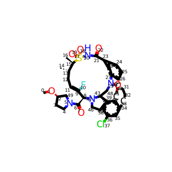 CO[C@@H]1CCN(C(=O)[C@H]2/C(F)=C/C[C@H](C)[C@@H](C)S(=O)(=O)NC(=O)c3ccc4c(c3)N3CCCCc5cc(Cl)cc(c5CO4)[C@]4(CCCN24)C3)C1